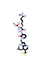 COC(=O)N[C@@H](CC/C=C/C(=O)N(C)C)C(=O)Nc1cccn(Cc2cc3ncc(C(F)(F)F)c(CC(C)C)c3[nH]2)c1=O